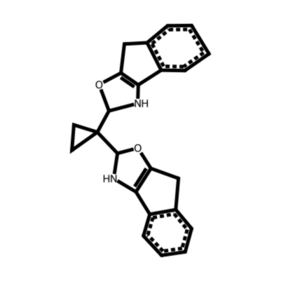 c1ccc2c(c1)CC1=C2NC(C2(C3NC4=C(Cc5ccccc54)O3)CC2)O1